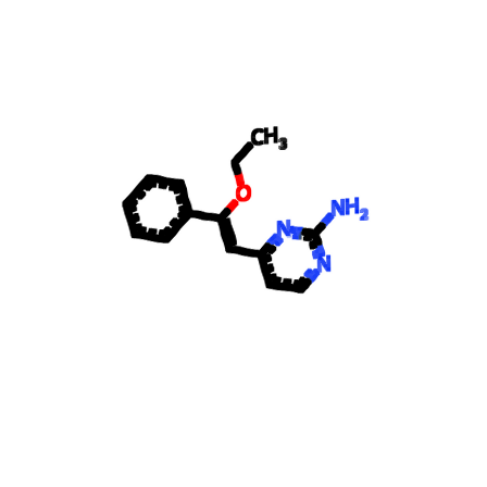 CCOC(=Cc1ccnc(N)n1)c1ccccc1